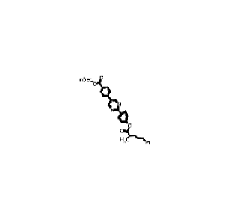 CCCCCCCCCCOC(=O)c1ccc(-c2cnc(-c3ccc(OC(=O)C(C)CCCC(C)C)cc3)nc2)cc1